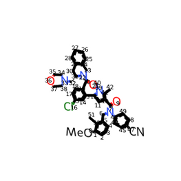 COc1cccc(CN(C(=O)c2cc(-c3cc(Cl)ccc3C(=O)N3Cc4ccccc4C[C@H]3CN3CCOCC3)n(C)c2C)c2ccc(C#N)cc2)c1C